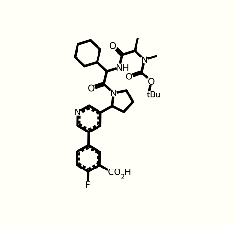 CC(C(=O)NC(C(=O)N1CCCC1c1cncc(-c2ccc(F)c(C(=O)O)c2)c1)C1CCCCC1)N(C)C(=O)OC(C)(C)C